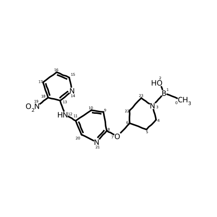 CB(O)N1CCC(Oc2ccc(Nc3ncccc3[N+](=O)[O-])cn2)CC1